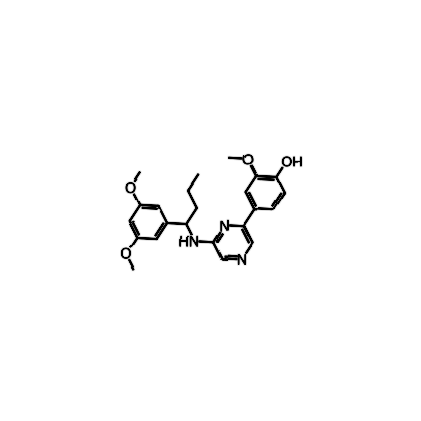 CCCC(Nc1cncc(-c2ccc(O)c(OC)c2)n1)c1cc(OC)cc(OC)c1